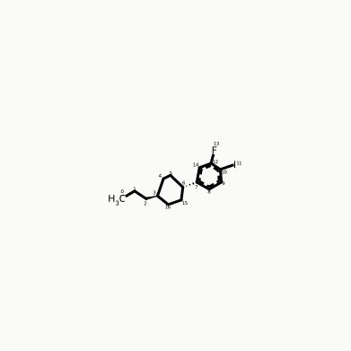 CCC[C@H]1CC[C@H](c2ccc(I)c(F)c2)CC1